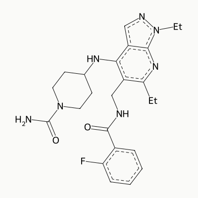 CCc1nc2c(cnn2CC)c(NC2CCN(C(N)=O)CC2)c1CNC(=O)c1ccccc1F